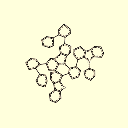 c1ccc(-c2ccccc2-c2ccc3c(c2)c2cc(-c4ccccc4-c4ccccc4)ccc2n3-c2c(-c3cccc4c3oc3ccccc34)cccc2-c2cccc3c4ccccc4n(-c4ccccc4)c23)cc1